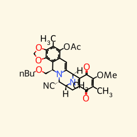 CCCCOC[C@H]1c2c(c(OC(C)=O)c(C)c3c2OCO3)C=C2[C@H]3C4=C(C[C@H]([C@H](C#N)N21)N3C)C(=O)C(C)=C(OC)C4=O